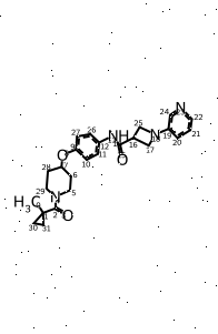 CC1(C(=O)N2CCC(Oc3ccc(NC(=O)C4CN(c5cccnc5)C4)cc3)CC2)CC1